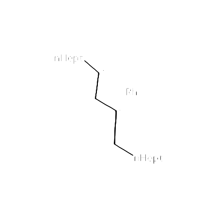 [CH2-]CCCCCCCCCCCCCCCCC.[Rh]